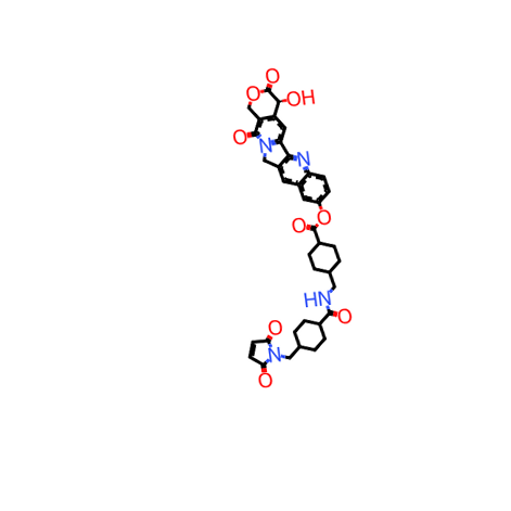 O=C(NCC1CCC(C(=O)Oc2ccc3nc4c(cc3c2)Cn2c-4cc3c(c2=O)COC(=O)[C@H]3O)CC1)C1CCC(CN2C(=O)C=CC2=O)CC1